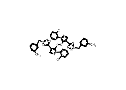 Cc1cccc(Cn2nnc(-c3cnn(-c4ccccc4Cl)c3SSc3c(-c4nnn(Cc5cccc(C)c5)n4)cnn3-c3ccccc3Cl)n2)c1